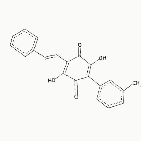 Cc1cccc(C2=C(O)C(=O)C(C=Cc3ccccc3)=C(O)C2=O)c1